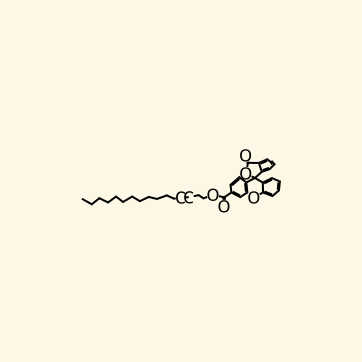 CCCCCCCCCCCCCCCCOC(=O)c1ccc2c(c1)Oc1ccccc1C21OC(=O)c2ccccc21